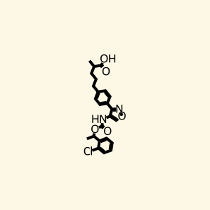 CC(CCCc1ccc(-c2nocc2NC(=O)OC(C)c2ccccc2Cl)cc1)C(=O)O